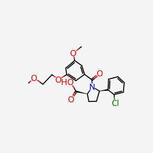 COCCOc1cc(OC)cc(C(=O)N2[C@@H](c3ccccc3Cl)CC[C@H]2C(=O)O)c1